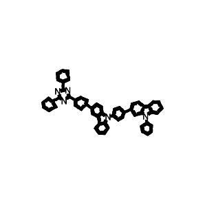 c1ccc(-c2nc(-c3ccccc3)nc(-c3ccc(-c4ccc5c(c4)c4ccccc4n5-c4ccc(-c5ccc6c7ccccc7n(-c7ccccc7)c6c5)cc4)cc3)n2)cc1